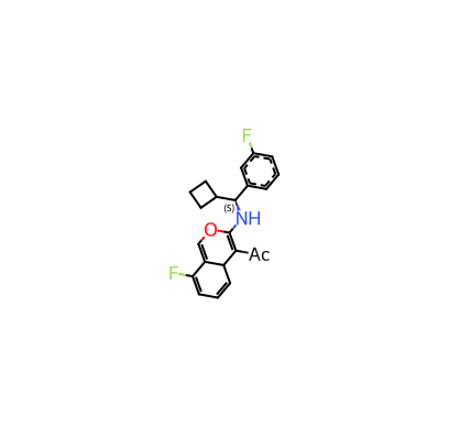 CC(=O)C1=C(N[C@H](c2cccc(F)c2)C2CCC2)OC=C2C(F)=CC=CC21